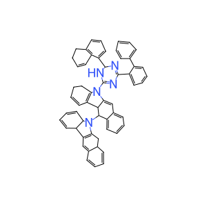 C1=CC2=CC3=C(CC2C=C1)N(C1c2ccccc2C=C2C1C1=C(CCC=C1)N2C1=NC(c2ccccc2-c2ccccc2)=NC(c2cccc4c2C=CCC4)N1)C1C=CC=CC31